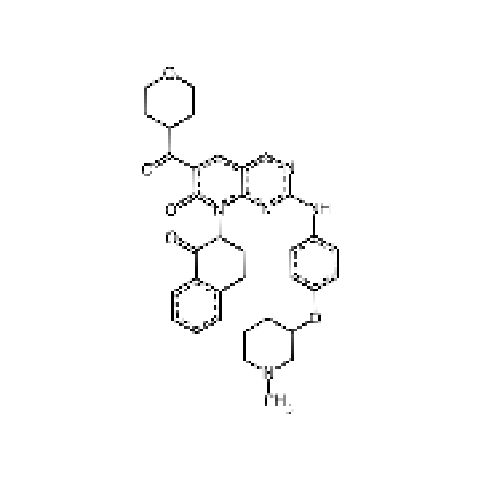 CN1CCCC(Oc2ccc(Nc3ncc4cc(C(=O)C5CCOCC5)c(=O)n(C5CCc6ccccc6C5=O)c4n3)cc2)C1